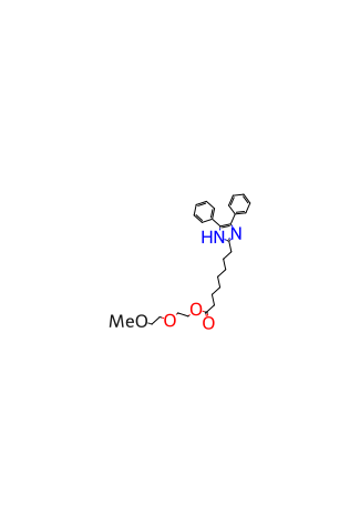 COCCOCCOC(=O)CCCCCCCc1nc(-c2ccccc2)c(-c2ccccc2)[nH]1